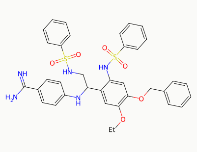 CCOc1cc(C(CNS(=O)(=O)c2ccccc2)Nc2ccc(C(=N)N)cc2)c(NS(=O)(=O)c2ccccc2)cc1OCc1ccccc1